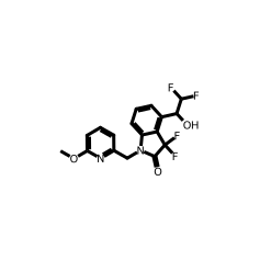 COc1cccc(CN2C(=O)C(F)(F)c3c(C(O)C(F)F)cccc32)n1